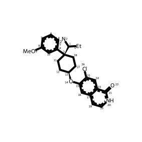 CCC(N)[C@]1(c2cccc(OC)c2)CC[C@H](Oc2cc3cc[nH]c(=O)c3cc2Cl)CC1